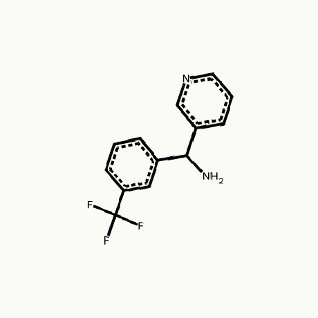 NC(c1cccnc1)c1cccc(C(F)(F)F)c1